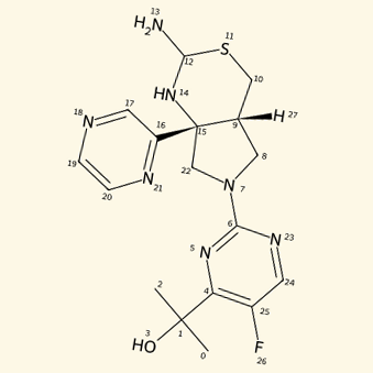 CC(C)(O)c1nc(N2C[C@H]3CSC(N)N[C@@]3(c3cnccn3)C2)ncc1F